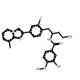 Cc1cccn2cc(-c3ccc(CC(CCO)NC(=O)c4ccc(OC(C)C)c(C#N)c4)c(F)c3)nc12